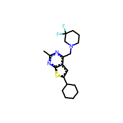 Cc1nc(CN2CCCC(F)(F)C2)c2cc(C3CCCCC3)sc2n1